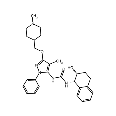 Cc1c(OCC2CCN(C)CC2)nn(-c2ccccc2)c1NC(=O)N[C@H]1c2ccccc2CC[C@@H]1O